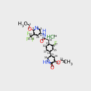 CCOc1ncc(NC(=O)Cc2ccc(-c3c[nH]c(=O)c(OCC)c3)cc2F)cc1C(F)(F)F.Cl